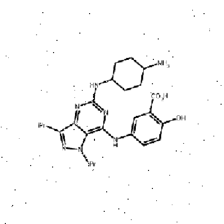 CC(C)c1nn(C(C)C)c2c(Nc3ccc(O)c(C(=O)O)c3)nc(NC3CCC(N)CC3)nc12